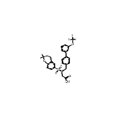 CC1(C)CCc2cc(S(=O)(=O)N(CC(=O)O)Cc3ccc(-c4cccc(OC(F)(F)F)c4)cc3)ccc2O1